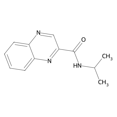 CC(C)NC(=O)c1cnc2ccccc2n1